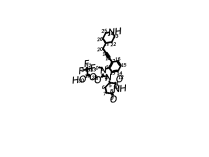 Cn1c(=O)n(C2CCC(=O)NC2=O)c2cccc(C#CCC3CCNCC3)c21.O=C(O)C(F)(F)F